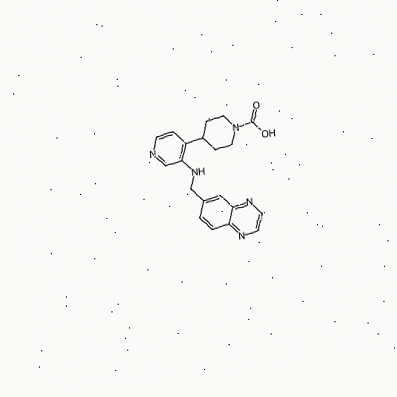 O=C(O)N1CCC(c2ccncc2NCc2ccc3nccnc3c2)CC1